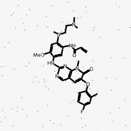 C=CC(=O)Nc1cc(Nc2ncc3cc(Oc4ccc(F)cc4C)c(=O)n(C)c3n2)c(OC)cc1N(C)CCN(C)C